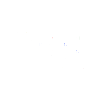 O=C(NCc1cccs1)Oc1nc(Cl)nc2c(Br)csc12